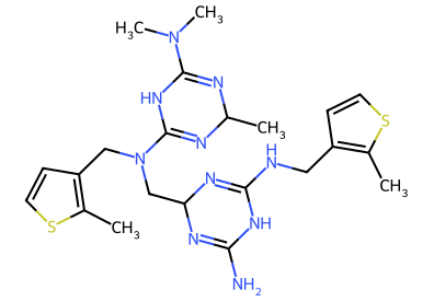 Cc1sccc1CNC1=NC(CN(Cc2ccsc2C)C2=NC(C)N=C(N(C)C)N2)N=C(N)N1